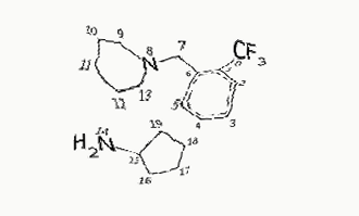 FC(F)(F)c1ccccc1CN1CCCCC1.NC1CCCC1